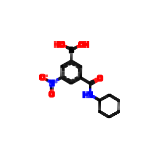 O=C(NC1CCCCC1)c1cc(B(O)O)cc([N+](=O)[O-])c1